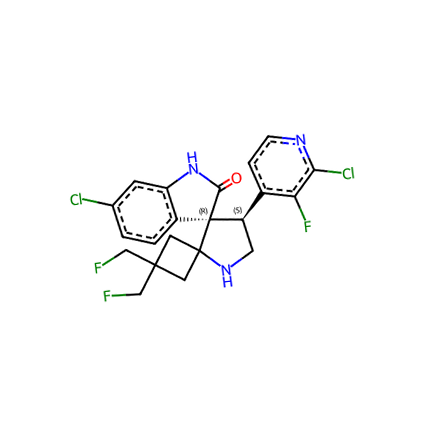 O=C1Nc2cc(Cl)ccc2[C@@]12[C@@H](c1ccnc(Cl)c1F)CNC21CC(CF)(CF)C1